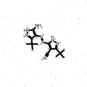 CC(C)(C)c1n[nH]c(N=Nc2c(C(C)(C)C)n[nH]c2N)c1C#N